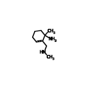 CNCC1=CCCCC1(C)N